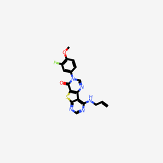 C=CCNc1ncnc2sc3c(=O)n(-c4ccc(OC)c(F)c4)cnc3c12